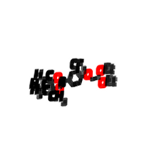 CCOC(COc1ccc(B2OC(C)(C)C(C)(C)O2)cc1C(F)(F)F)OCC